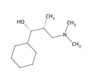 C[C@H](CN(C)C)[C@@H](O)C1CCCCC1